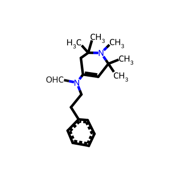 CN1C(C)(C)C=C(N(C=O)CCc2ccccc2)CC1(C)C